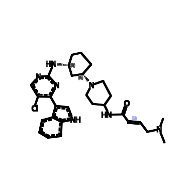 CN(C)C/C=C/C(=O)NC1CCN([C@H]2CCC[C@@H](Nc3ncc(Cl)c(-c4c[nH]c5ccccc45)n3)C2)CC1